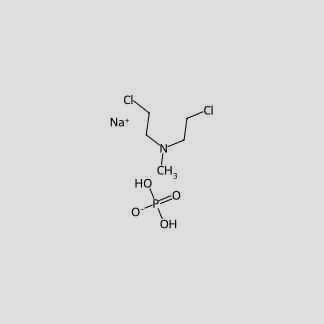 CN(CCCl)CCCl.O=P([O-])(O)O.[Na+]